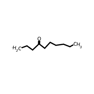 [CH2]CCC(=O)CCCCCC